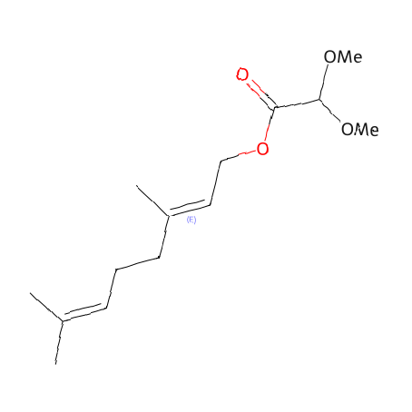 COC(OC)C(=O)OC/C=C(\C)CCC=C(C)C